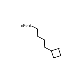 CCCCCCCCCC1[CH]CC1